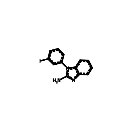 Nc1nc2ccccc2n1-c1cccc(I)c1